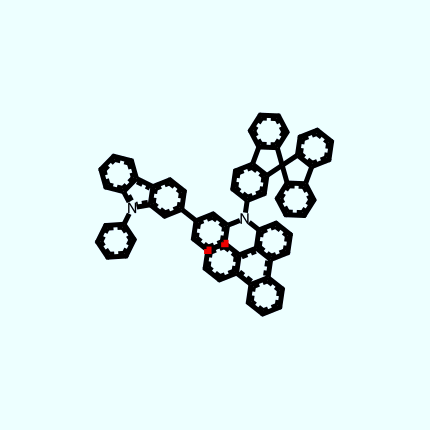 c1ccc(-n2c3ccccc3c3ccc(-c4cccc(N(c5ccc6c(c5)C5(c7ccccc7-c7ccccc75)c5ccccc5-6)c5cccc6c7ccccc7c7ccccc7c56)c4)cc32)cc1